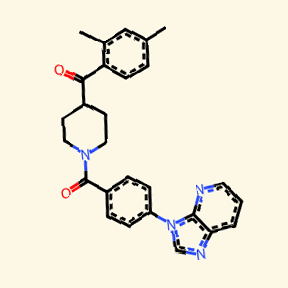 Cc1ccc(C(=O)C2CCN(C(=O)c3ccc(-n4cnc5cccnc54)cc3)CC2)c(C)c1